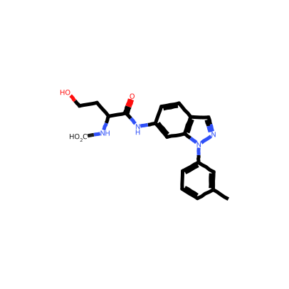 Cc1cccc(-n2ncc3ccc(NC(=O)C(CCO)NC(=O)O)cc32)c1